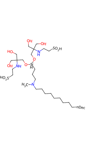 CCCCCCCCCCCCCCCCCCCN(C)CCC[SiH](OCC(CO)(CO)NCCS(=O)(=O)O)OCC(CO)(CO)NCCS(=O)(=O)O